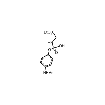 CCOC(=O)CNP(=O)(O)Oc1ccc(NC(C)=O)cc1